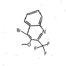 COc1c(C(F)(F)F)nc2ccccc2c1Br